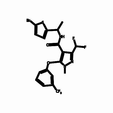 CC(NC(=O)c1c(C(F)F)nn(C)c1Oc1cccc(C(F)(F)F)c1)c1ccc(Br)s1